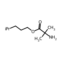 CC(C)CCCOC(=O)C(C)(C)N